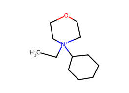 CC[N+]1(C2CCCCC2)CCOCC1